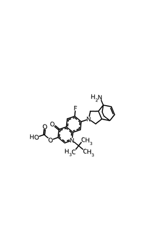 CC(C)(C)n1cc(OC(=O)O)c(=O)c2cc(F)c(N3CC4C5C=CC(N)(CC5)C4C3)cc21